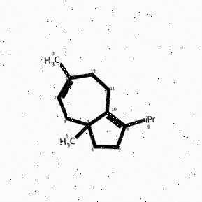 CC1=CCC2(C)CCC(C(C)C)=C2CC1